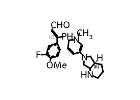 COc1ccc(/C(=C/C=O)PC2C=CC(N3CC4NCCC[C@@H]4C3)=CN2C)cc1F